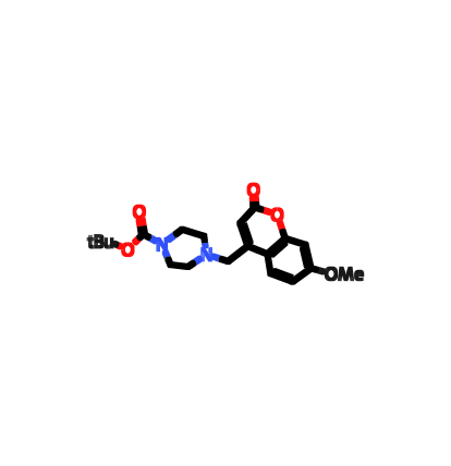 COc1ccc2c(CN3CCN(C(=O)OC(C)(C)C)CC3)cc(=O)oc2c1